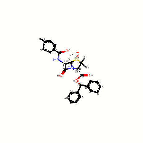 Cc1ccc(C(=O)N[C@@H]2C(=O)N3[C@@H]2[S@@+]([O-])C(C)(C)[C@@H]3C(=O)OC(c2ccccc2)c2ccccc2)cc1